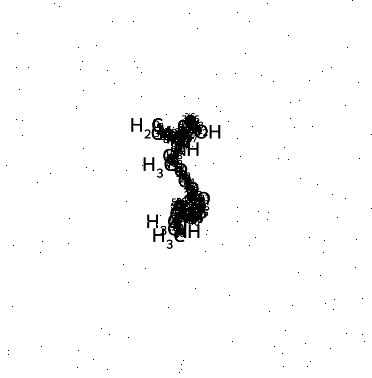 C=CC(=O)N1CCN(c2nc(NCCC(=O)N(C)CCOCCOCCOc3cccc(C(=O)c4csc([C@@H]5CCCN5C(=O)C(NC(=O)C(C)OC(=O)NC)C5CCCCC5)n4)c3)nc3c(F)c(-c4cc(O)cc5ccccc45)c(Cl)cc23)CC1